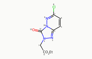 CCOC(=O)Cn1nc2ccc(Cl)nn2c1=O